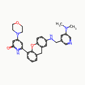 CN(C)c1cncc(CNc2ccc3c(c2)Cc2cccc(-c4cc(N5CCOCC5)cc(=O)[nH]4)c2O3)c1